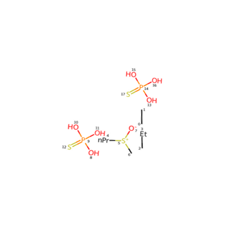 CC.CCC.CCC[S+](C)[O-].OP(O)(O)=S.OP(O)(O)=S